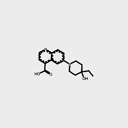 CCC1(O)CCN(c2ccc3nccc(C(=O)O)c3c2)CC1